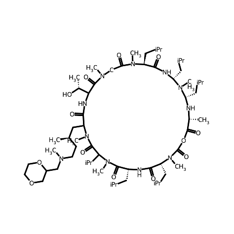 CC(C)C[C@@H]1C(=O)N[C@H](CC(C)C)C(=O)N(C)C(C(C)C)C(=O)N(C)C(C[C@H](C)CCN(C)CC2COCCO2)C(=O)NC([C@@H](C)O)C(=O)N(C)CC(=O)N(C)[C@@H](CC(C)C)C(=O)N[C@H](CC(C)C)N(C)[C@H](CC(C)C)N[C@H](C)C(=O)OC(=O)N1C